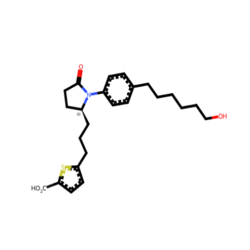 O=C(O)c1ccc(CCC[C@H]2CCC(=O)N2c2ccc(CCCCCCO)cc2)s1